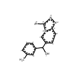 Cc1cccc(C(O)c2ccc3nnc(C(C)C)n3c2)c1